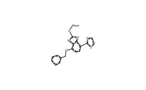 CCCC(C)Oc1nc2c(OCc3ccccc3)ccc(-c3nccs3)c2o1